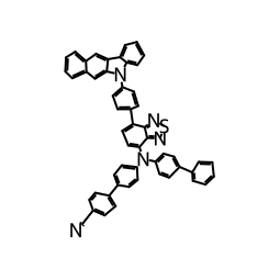 N#Cc1ccc(-c2ccc(N(c3ccc(-c4ccccc4)cc3)c3ccc(-c4ccc(-n5c6ccccc6c6cc7ccccc7cc65)cc4)c4nsnc34)cc2)cc1